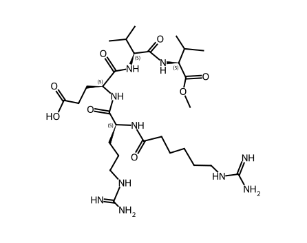 COC(=O)[C@@H](NC(=O)[C@@H](NC(=O)[C@H](CCC(=O)O)NC(=O)[C@H](CCCNC(=N)N)NC(=O)CCCCCNC(=N)N)C(C)C)C(C)C